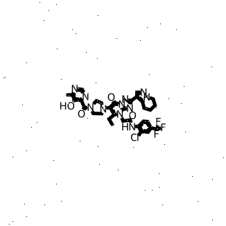 CCc1c(N2CCN(C(=O)c3ncnc(C)c3O)CC2)c(=O)n2nc(-c3cnn4c3CCCC4)nc2n1CC(=O)Nc1ccc(C(F)(F)F)cc1Cl